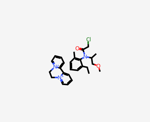 CCc1cccc(C)c1N(C(=O)CCl)C(C)COC.c1cc[n+]2c(c1)-c1cccc[n+]1CC2